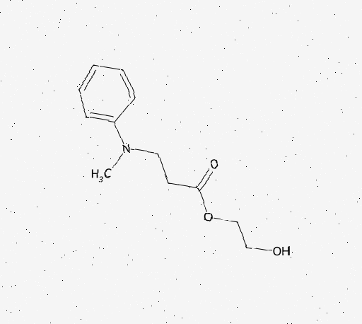 CN(CCC(=O)OCCO)c1ccccc1